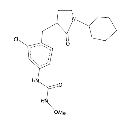 CONC(=O)Nc1ccc(CC2CCN(C3CCCCC3)C2=O)c(Cl)c1